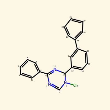 ClN1C=NC(c2ccccc2)=NC1c1cccc(-c2ccccc2)c1